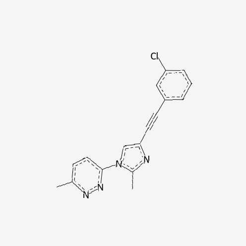 Cc1ccc(-n2cc(C#Cc3cccc(Cl)c3)nc2C)nn1